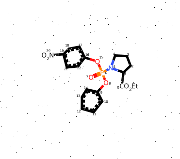 CCOC(=O)C1CCCN1P(=O)(Oc1ccccc1)Oc1ccc([N+](=O)[O-])cc1